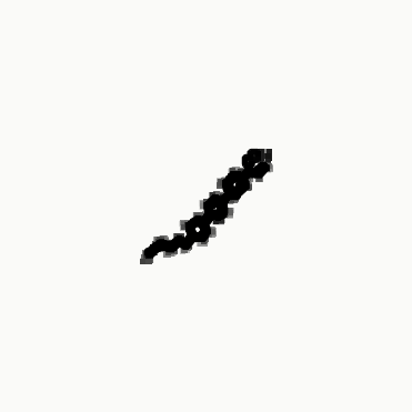 C=CC(OO)c1ccc(-c2ccc(C3CCC(CCCCC)CC3)cc2)cc1